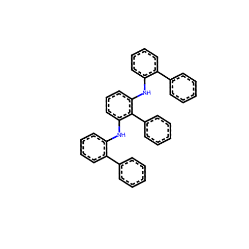 c1ccc(-c2ccccc2Nc2cccc(Nc3ccccc3-c3ccccc3)c2-c2ccccc2)cc1